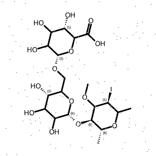 COC1[C@@H](I)C(C)O[C@H](C)[C@H]1O[C@H]1OC(CO[C@H]2OC(C(=O)O)[C@@H](O)C(O)C2O)[C@@H](O)C(O)C1O